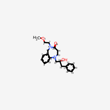 COCCN1Cc2ccccc2N(CC(O)Cc2ccccc2)CCC1=O